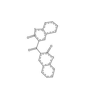 O=C(c1cc2ccccc2sc1=O)c1cc2ccccc2sc1=O